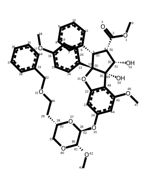 COC(=O)[C@H]1[C@@H](c2ccccc2)[C@@]2(c3ccc(OC)cc3)Oc3cc(O[C@@H]4O[C@@H](CCOCc5ccccc5)CO[C@H]4OC)cc(OC)c3[C@]2(O)[C@H]1O